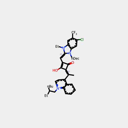 CCCCCCCCCCN1/C(=C\C2=C(O)C(=C(/C)c3cc[n+](CC(CC)CCCC)c4ccccc34)/C2=O)N(CC)c2cc(C(F)(F)F)c(Cl)cc21